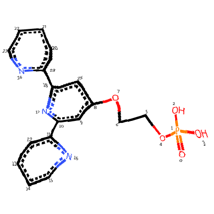 O=P(O)(O)OCCOc1cc(-c2ccccn2)nc(-c2ccccn2)c1